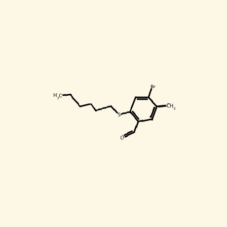 CCCCCCSc1cc(Br)c(C)cc1C=O